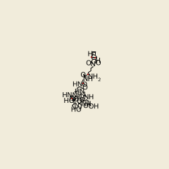 N=C(N)NCCCC(NC(=O)CNC(=O)[C@@H](N)CCCCN1C(=O)C2C3C=CC(C4C=C[C@H]43)[C@@H]2C1=O)C(=O)NCC(=O)NC(CC(=O)O)C(=O)NC(CO)C(=O)N1CCCC1C(=O)O